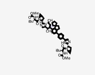 C=C/C=C(/c1ccc(-c2ccc(-c3cnc([C@@H]4CC5CC5N4C(=O)[C@@H](NC(=O)OC)C(C)CC)[nH]3)cc2)c2c1C1(CCCC1)CC2)[C@@H](C)C1CNC([C@@H]2CC3CC3N2C(=O)[C@@H](NC(=O)OC)C(C)CC)=N1